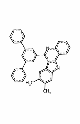 Cc1cc2nc3c4ccccc4nc(-c4cc(-c5ccccc5)cc(-c5ccccc5)c4)n3c2cc1C